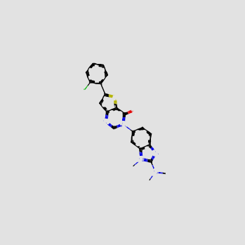 CN(C)c1nc2ccc(-n3cnc4cc(-c5ccccc5Cl)sc4c3=O)cc2n1C